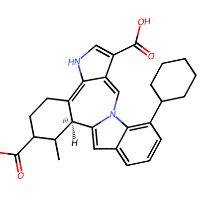 CC1C(C(=O)O)CCC2=c3[nH]cc(C(=O)O)c3=Cn3c(cc4cccc(C5CCCCC5)c43)[C@H]21